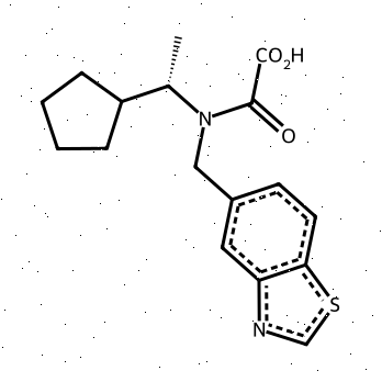 C[C@@H](C1CCCC1)N(Cc1ccc2scnc2c1)C(=O)C(=O)O